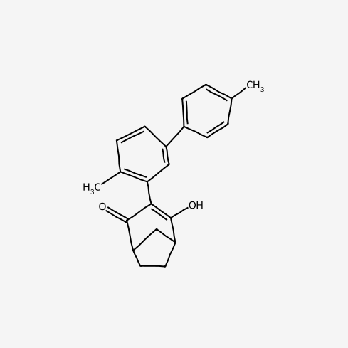 Cc1ccc(-c2ccc(C)c(C3=C(O)C4CCC(C4)C3=O)c2)cc1